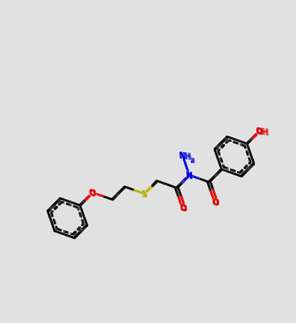 NN(C(=O)CSCCOc1ccccc1)C(=O)c1ccc(O)cc1